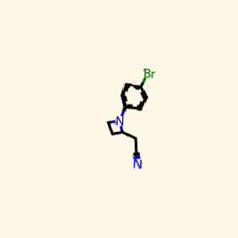 N#CCC1CCN1c1ccc(Br)cc1